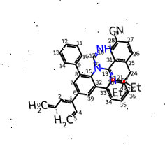 C=C/C=C(\C=C)c1cc(-c2ccccc2)c(N(C=N)C2=NC(CC)(CC)Cc3ccc(C#N)cc32)c(-c2ccccc2)c1